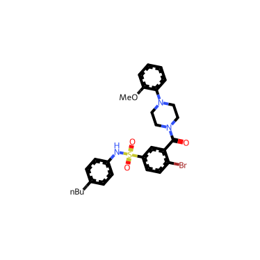 CCCCc1ccc(NS(=O)(=O)c2ccc(Br)c(C(=O)N3CCN(c4ccccc4OC)CC3)c2)cc1